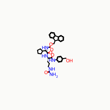 NC(=O)NCCC[C@H](NC(=O)[C@@H](NC(=O)OCC1c2ccccc2-c2ccccc21)C1CCCC1)C(=O)Nc1ccc(CO)cc1